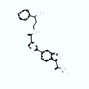 CNC(=O)c1n[nH]c2cc(-c3ncc(C(=O)NCCC(C)c4ccccc4)s3)ccc12